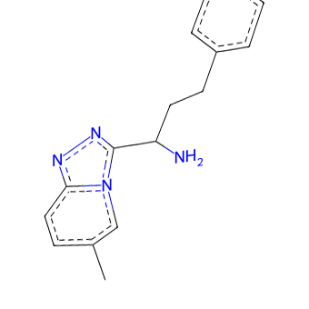 Cc1ccc2nnc(C(N)CCc3ccccc3)n2c1